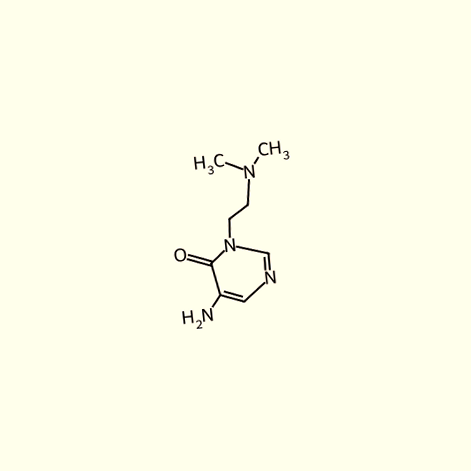 CN(C)CCn1cncc(N)c1=O